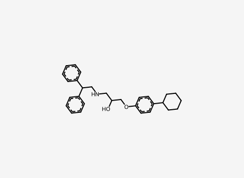 OC(CNCC(c1ccccc1)c1ccccc1)COc1ccc(C2CCCCC2)cc1